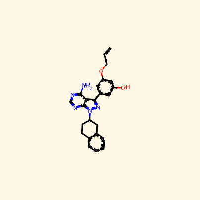 C=CCOc1cc(O)cc(-c2nn(C3CCc4ccccc4C3)c3ncnc(N)c23)c1